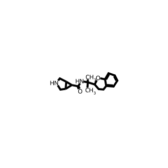 CC(C)(NC(=O)C1C2CNCC21)C1CCc2ccccc2O1